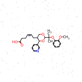 COc1ccccc1OC(C)(C)C1OCC(C/C=C\CCC(=O)O)C(c2cccnc2)O1